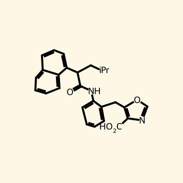 CC(C)CC(C(=O)Nc1ccccc1Cc1ocnc1C(=O)O)c1cccc2ccccc12